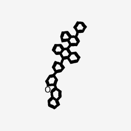 c1ccc(-c2ccc(-c3c4ccccc4c(-c4ccc(-c5ccc6oc7c8ccccc8ccc7c6c5)cc4)c4ccccc34)c3ccccc23)cc1